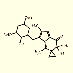 CC1=C(CC2CC(C=O)CC(C=O)C2O)C2=C(C)C3(CC3)[C@@](C)(O)C(=O)C2=C1